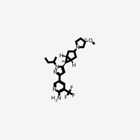 CCC(C)n1nc(-c2cnc(N)c(C(F)(F)F)c2)cc1[C@H]1[C@@H]2CC(N3CC[C@H](OC)C3)C[C@@H]21